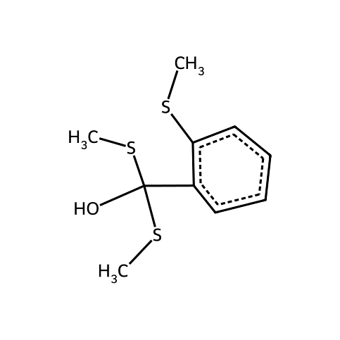 CSc1ccccc1C(O)(SC)SC